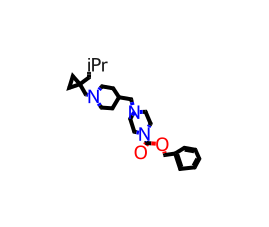 CC(C)CC1(CN2CCC(CN3CCN(C(=O)OCc4ccccc4)CC3)CC2)CC1